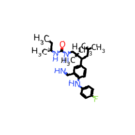 CC[C@H](C)NC(=O)NCC(C)(C)C(CC(C)C)c1ccc(Nc2ccc(F)cc2)c(C=N)c1